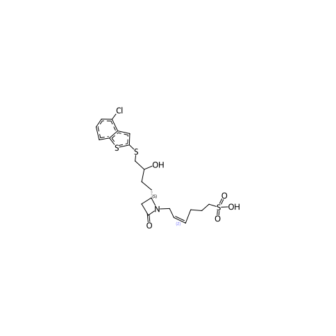 O=C1C[C@H](CCC(O)CSc2cc3c(Cl)cccc3s2)N1C/C=C\CCCS(=O)(=O)O